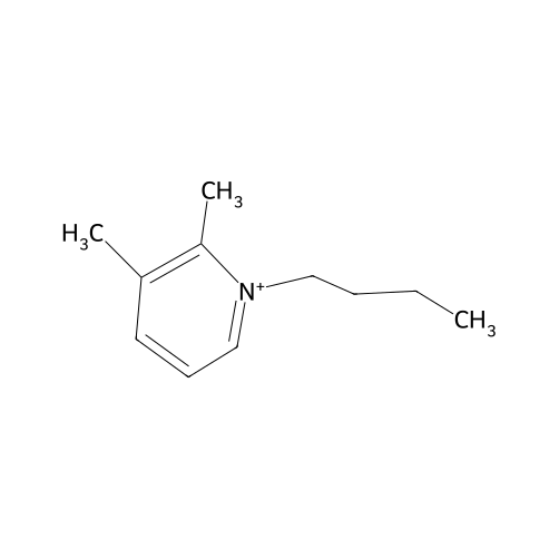 CCCC[n+]1cccc(C)c1C